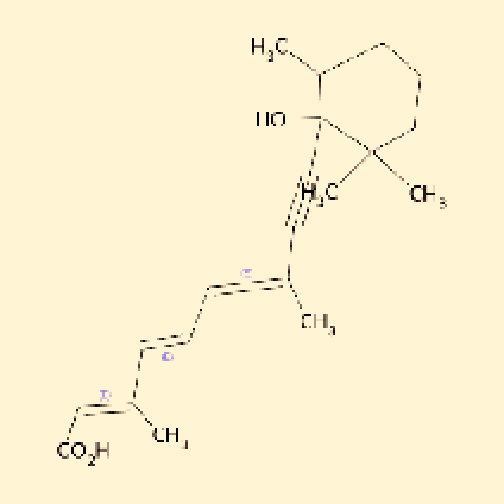 C\C(C#CC1(O)C(C)CCCC1(C)C)=C/C=C/C(C)=C/C(=O)O